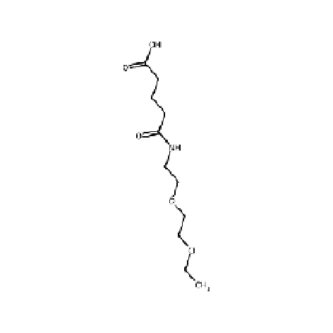 CCOCCOCCNC(=O)CCCC(=O)O